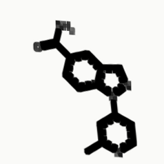 Cc1cc(-n2ncc3cc(C(N)=O)ccc32)ccn1